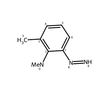 CNc1c(C)cccc1N=N